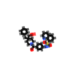 O=C(c1ccc(NS(=O)(=O)c2cccc3cccnc23)cc1)N1CCC(CO)(Cc2ccccc2)CC1